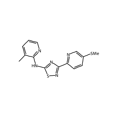 CSc1ccc(-c2nsc(Nc3ncccc3C)n2)nc1